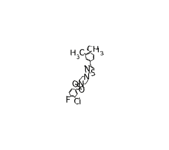 Cc1ccc(-c2csc(N3CCN(S(=O)(=O)c4ccc(F)c(Cl)c4)CC3)n2)cc1C